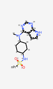 CCCS(=O)(=O)NC1CCC(N(C)c2ncnc3[nH]ccc23)CC1